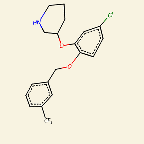 FC(F)(F)c1cccc(COc2ccc(Cl)cc2OC2CCCNC2)c1